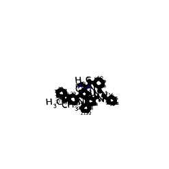 C=c1c2c([nH]/c1=C(/C=C\C)c1ccc3c(c1)c1c(n3-c3ccccc3)CC=C3C(=C1)c1ccccc1C3(C)C)C(c1nc(-c3ccccc3)nc(-c3ccccc3)n1)=CC=CC2